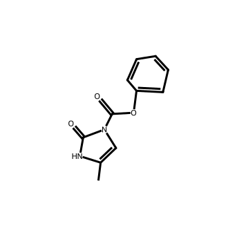 Cc1cn(C(=O)Oc2ccccc2)c(=O)[nH]1